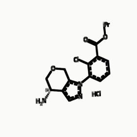 CC(C)OC(=O)c1cccc(-n2ncc3c2COC[C@H]3N)c1Cl.Cl